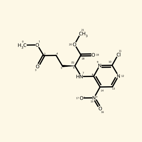 COC(=O)CC[C@H](Nc1nc(Cl)ncc1[N+](=O)[O-])C(=O)OC